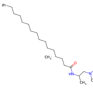 CC(C)CCCCCCCCCCCCCCC(=O)NC(C)CN(C)C.[CH3]